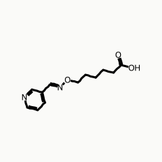 O=C(O)CCCCCON=Cc1cccnc1